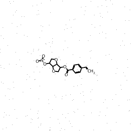 C=Cc1ccc(C(=O)OC2COC3C(O[N+](=O)[O-])COC23)cc1